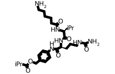 CC(C)C(=O)OCc1ccc(NC(=O)[C@H](CCCNC(N)=O)NC(=O)[C@@H](NC(=O)CCCCCN)C(C)C)cc1